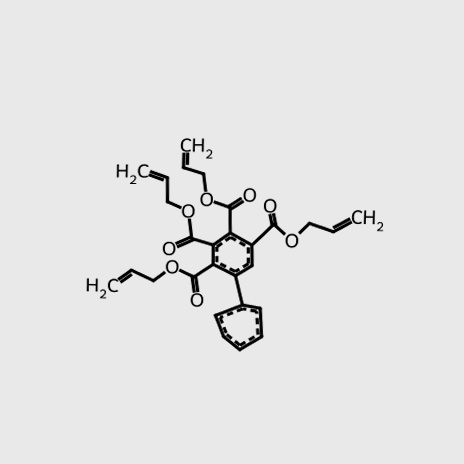 C=CCOC(=O)c1cc(-c2ccccc2)c(C(=O)OCC=C)c(C(=O)OCC=C)c1C(=O)OCC=C